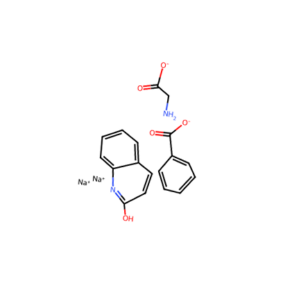 NCC(=O)[O-].O=C([O-])c1ccccc1.Oc1ccc2ccccc2n1.[Na+].[Na+]